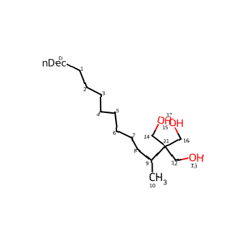 CCCCCCCCCCCCCCCCCCC(C)C(CO)(CO)CO